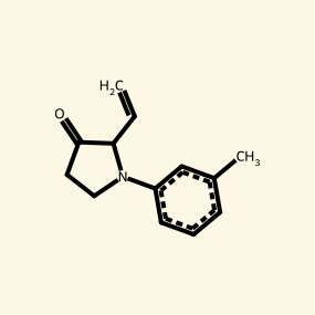 C=CC1C(=O)CCN1c1cccc(C)c1